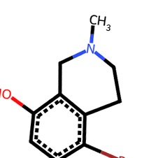 CN1CCc2c(Br)ccc(O)c2C1